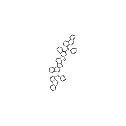 c1ccc(N(c2cccc3c2ccc2ccccc23)c2cc3oc4c(ccc5c4oc4cc(N(c6ccccc6)c6cccc7c6ccc6ccccc67)c6ccccc6c45)c3c3ccccc23)cc1